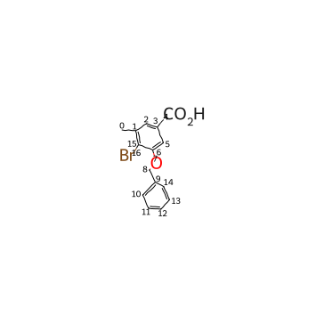 Cc1cc(C(=O)O)cc(OCc2ccccc2)c1Br